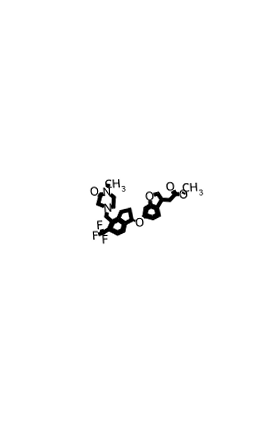 COC(=O)CC1COc2cc(O[C@@H]3CCc4c3ccc(C(F)(F)F)c4CN3CCN(C)C(=O)C3)ccc21